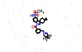 CS(=O)(=O)Nc1ccc2c(c1)C1(CCC3(CC3)CC1)CN2C(=O)c1cccc(CN2C[C@@H]3[C@H](C2)C3(F)F)c1